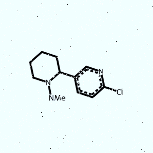 CNN1CCCCC1c1ccc(Cl)nc1